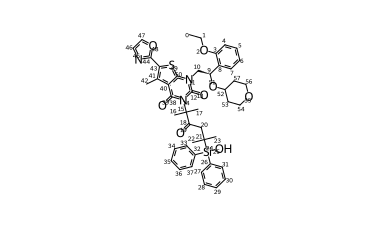 CCOc1ccccc1[C@H](Cn1c(=O)n(C(C)(C)C(=O)CC(C)(C)[Si](O)(c2ccccc2)c2ccccc2)c(=O)c2c(C)c(-c3ncco3)sc21)OC1CCOCC1